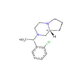 O=C(O)C(c1ccccc1Cl)N1CCN2CCC[C@@H]2C1